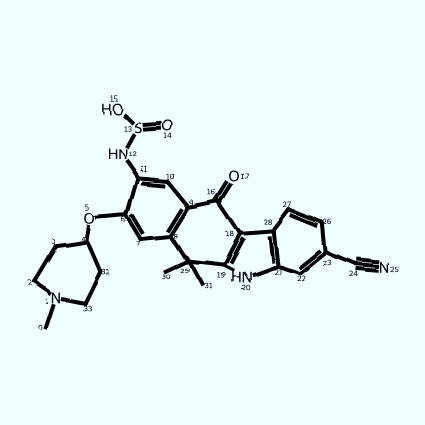 CN1CCC(Oc2cc3c(cc2NS(=O)O)C(=O)c2c([nH]c4cc(C#N)ccc24)C3(C)C)CC1